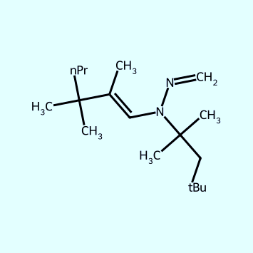 C=NN(/C=C(\C)C(C)(C)CCC)C(C)(C)CC(C)(C)C